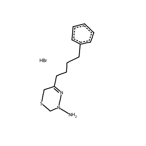 Br.NN1CSCC(CCCCc2ccccc2)=N1